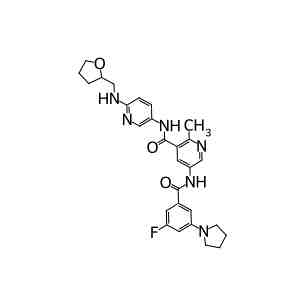 Cc1ncc(NC(=O)c2cc(F)cc(N3CCCC3)c2)cc1C(=O)Nc1ccc(NCC2CCCO2)nc1